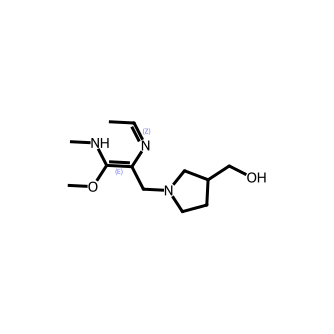 C/C=N\C(CN1CCC(CO)C1)=C(/NC)OC